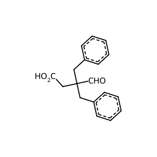 O=CC(CC(=O)O)(Cc1ccccc1)Cc1ccccc1